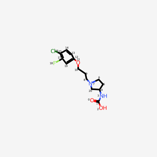 O=C(O)NC1CCN(CCCOc2ccc(Cl)c(F)c2)C1